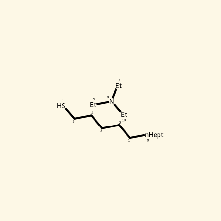 CCCCCCCCCCCCS.CCN(CC)CC